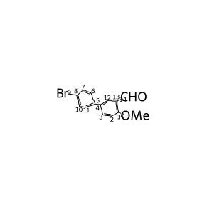 COc1ccc(-c2ccc(Br)cc2)cc1C=O